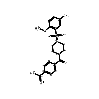 COc1ccc(C)cc1S(=O)(=O)N1CCN(C(=O)c2ccc(C(=N)N)cc2)CC1